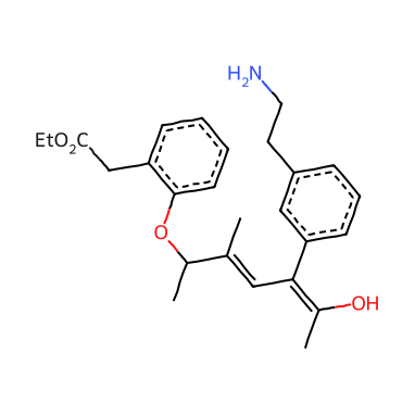 CCOC(=O)Cc1ccccc1OC(C)/C(C)=C/C(=C(\C)O)c1cccc(CCN)c1